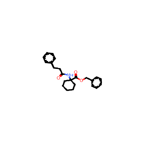 O=C(CCc1ccccc1)NC1(C(=O)OCc2ccccc2)CCCCC1